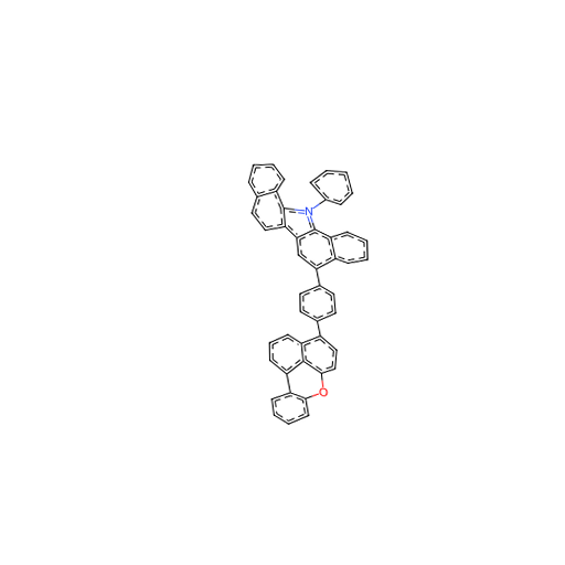 c1ccc(-n2c3c4ccccc4ccc3c3cc(-c4ccc(-c5ccc6c7c(cccc57)-c5ccccc5O6)cc4)c4ccccc4c32)cc1